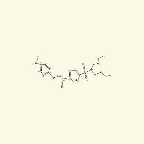 CCCCN(CCCC)S(=O)(=O)c1ccc(C(=O)NCc2ccc(OC)cc2)cc1